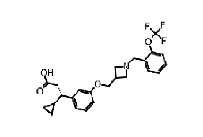 O=C(O)C[C@H](c1cccc(OCC2CN(Cc3ccccc3OC(F)(F)F)C2)c1)C1CC1